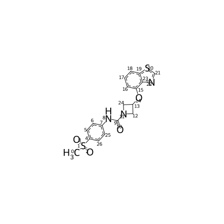 CS(=O)(=O)c1ccc(NC(=O)N2CC(Oc3cccc4scnc34)C2)cc1